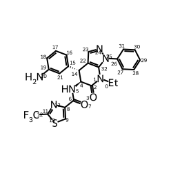 CCN1C(=O)[C@@H](NC(=O)c2csc(C(F)(F)F)n2)[C@H](c2cccc(N)c2)c2cnn(-c3ccccc3)c21